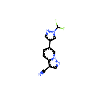 N#Cc1cnn2cc(-c3cnn(C(F)F)c3)ccc12